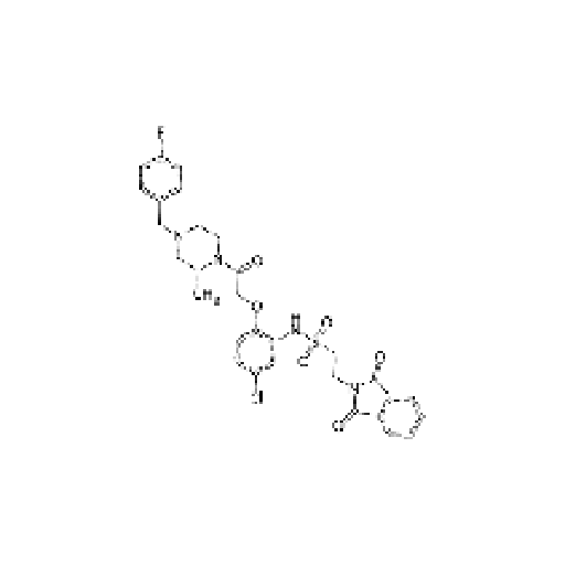 CC1CN(Cc2ccc(F)cc2)CCN1C(=O)COc1ccc(Cl)cc1NS(=O)(=O)CCN1C(=O)c2ccccc2C1=O